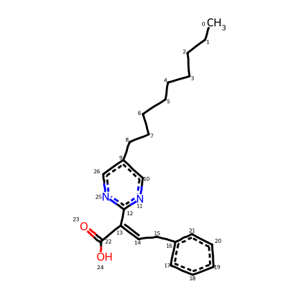 CCCCCCCCCc1cnc(/C(=C\Cc2ccccc2)C(=O)O)nc1